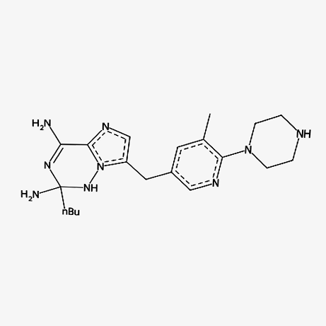 CCCCC1(N)N=C(N)c2ncc(Cc3cnc(N4CCNCC4)c(C)c3)n2N1